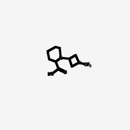 CN1CC(N2CCCCC2C(=O)O)C1